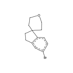 Brc1ccc2c(c1)CCC21CCOCC1